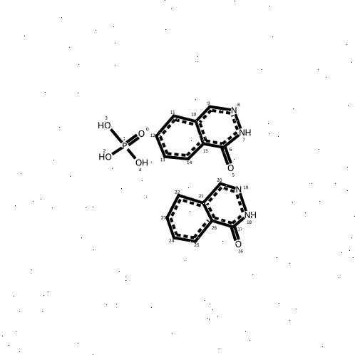 O=P(O)(O)O.O=c1[nH]ncc2ccccc12.O=c1[nH]ncc2ccccc12